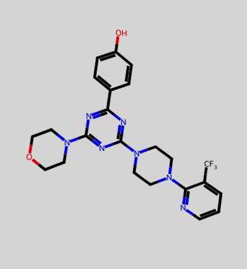 Oc1ccc(-c2nc(N3CCOCC3)nc(N3CCN(c4ncccc4C(F)(F)F)CC3)n2)cc1